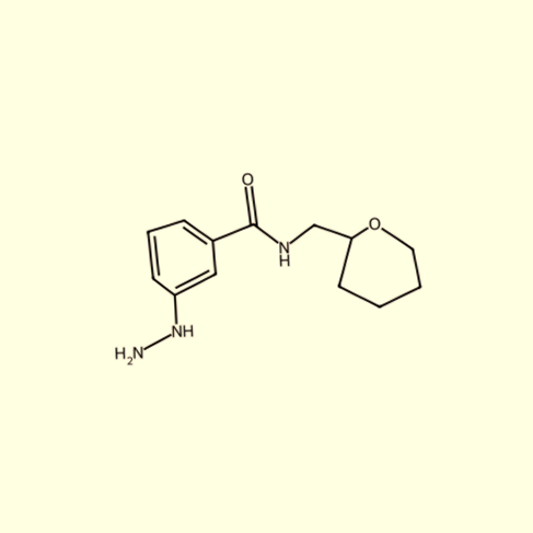 NNc1cccc(C(=O)NCC2CCCCO2)c1